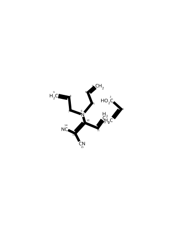 C=CC(=O)O.C=CCN(CC=C)C(C=C)=C(C#N)C#N